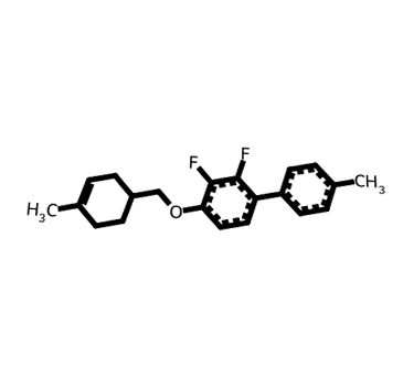 CC1=CCC(COc2ccc(-c3ccc(C)cc3)c(F)c2F)CC1